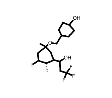 C[C@@H]1C(I)CC(C)(OCC2CCC(O)CC2)CC1C(O)CC(F)(F)F